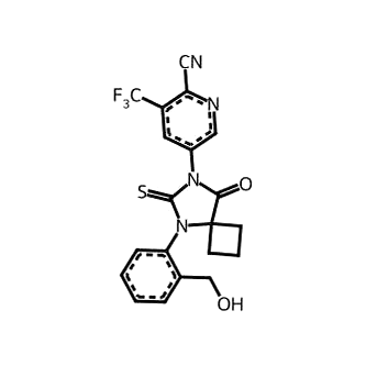 N#Cc1ncc(N2C(=O)C3(CCC3)N(c3ccccc3CO)C2=S)cc1C(F)(F)F